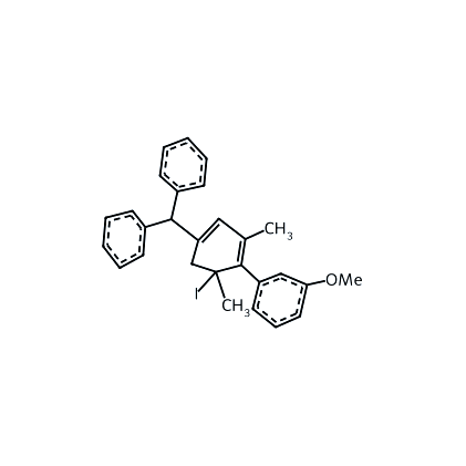 COc1cccc(C2=C(C)C=C(C(c3ccccc3)c3ccccc3)CC2(C)I)c1